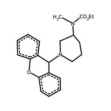 CCOC(=O)N(C)C1CCCN(C2c3ccccc3Oc3ccccc32)C1